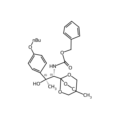 CCCCOc1ccc([C@](C)(O)[C@H](NC(=O)OCc2ccccc2)C23OCC(C)(CO2)CO3)cc1